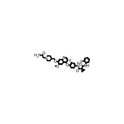 COc1cc2c(Oc3ccc(NC(=O)C4(C(=O)Nc5ccccc5F)CC4)cc3F)ccnc2cc1OCC1CCN(CC(N)=O)CC1